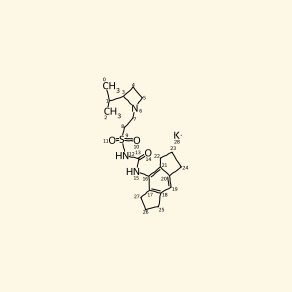 CC(C)C1CCN1CCS(=O)(=O)NC(=O)Nc1c2c(cc3c1CCC3)CCC2.[K]